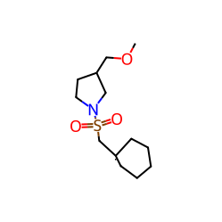 COCC1CCN(S(=O)(=O)C[C]2CCCCC2)C1